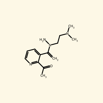 C=C(c1cccnc1C(C)=O)N(N)CCN(C)C